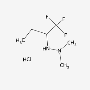 CCC(NN(C)C)C(F)(F)F.Cl